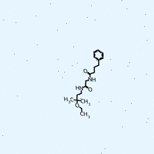 CCOC(C)(C)CCNC(=O)CNC(=O)CCCc1ccccc1